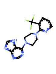 FC(F)(F)c1cccnc1N1CCN(c2ncnc3nc[nH]c23)CC1